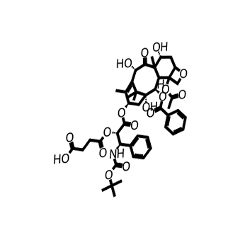 CC(=O)OC12COC1C[C@@H](O)C1(C)C(=O)[C@@H](O)C3=C(C)[C@H](OC(=O)[C@@H](OC(=O)CCC(=O)O)[C@H](NC(=O)OC(C)(C)C)c4ccccc4)C[C@](O)([C@H](OC(=O)c4ccccc4)[C@@H]21)C3(C)C